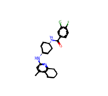 Cc1cc(N[C@H]2CC[C@@H](NC(=O)c3ccc(F)c(Cl)c3)CC2)nc2c1CCCC2